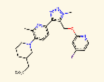 CCOC(=O)CC1CCCN(c2ccc(-c3nnn(C)c3COc3cc(I)ccn3)nc2C)C1